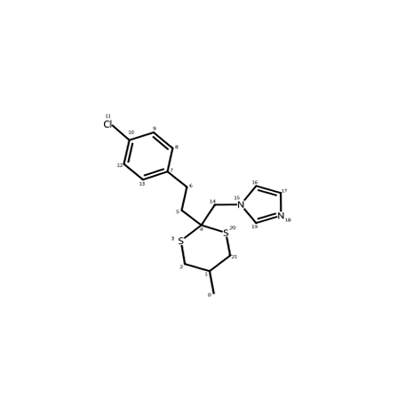 CC1CSC(CCc2ccc(Cl)cc2)(Cn2ccnc2)SC1